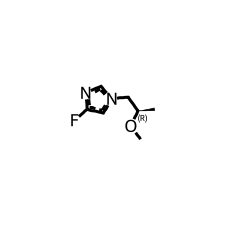 CO[C@H](C)Cn1cnc(F)c1